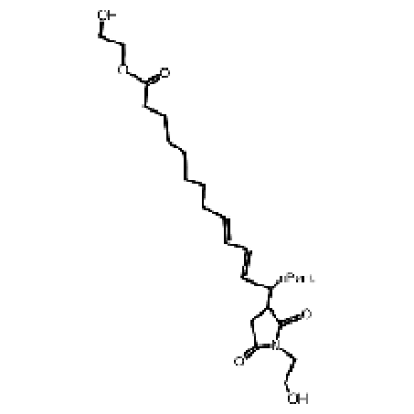 CCCCCC(/C=C/C=C/CCCCCCCC(=O)OCCO)C1CC(=O)N(CCO)C1=O